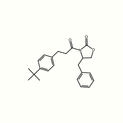 CC(C)(C)c1ccc(CCC(=O)N2C(=O)OCC2Cc2ccccc2)cc1